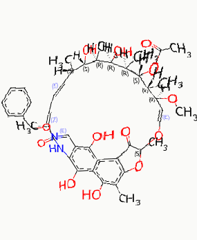 CO[C@H]1/C=C/O[C@@]2(C)Oc3c(C)c(O)c4c(O)c(c(/C=N/OCc5ccccc5)c(O)c4c3C2=O)NC(=O)/C(C)=C\C=C\[C@H](C)[C@H](O)[C@@H](C)[C@@H](O)[C@@H](C)[C@H](OC(C)=O)[C@@H]1C